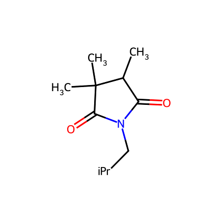 CC(C)CN1C(=O)C(C)C(C)(C)C1=O